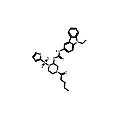 CCCCC(=O)N1CCN(S(=O)(=O)c2cccs2)C(OC(=O)Nc2ccc3c(c2)c2ccccc2n3CC)C1